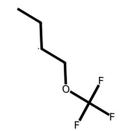 CC[CH]COC(F)(F)F